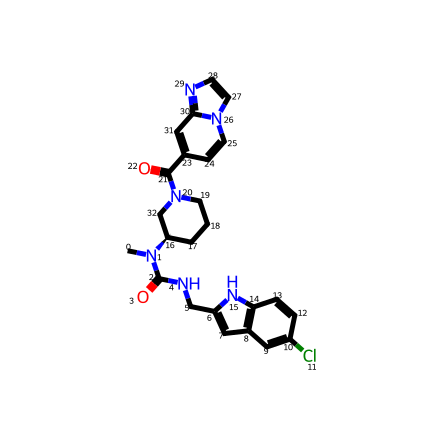 CN(C(=O)NCc1cc2cc(Cl)ccc2[nH]1)[C@@H]1CCCN(C(=O)c2ccn3ccnc3c2)C1